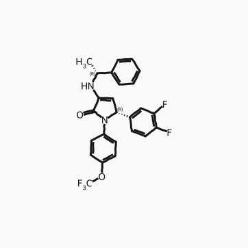 C[C@@H](NC1=C[C@H](c2ccc(F)c(F)c2)N(c2ccc(OC(F)(F)F)cc2)C1=O)c1ccccc1